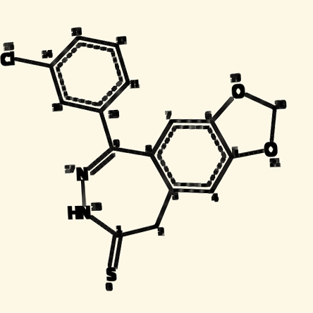 S=C1Cc2cc3c(cc2C(c2cccc(Cl)c2)=NN1)OCO3